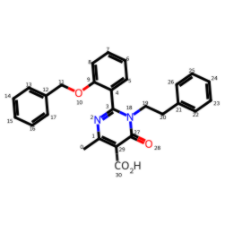 Cc1nc(-c2ccccc2OCc2ccccc2)n(CCc2ccccc2)c(=O)c1C(=O)O